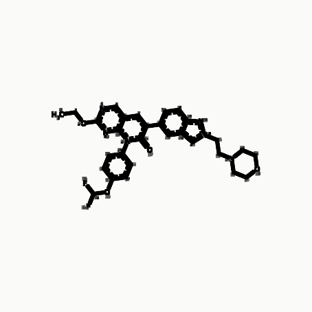 CCOc1ncc2cc(-c3ccc4nn(CCN5CCOCC5)cc4c3)c(=O)n(-c3ccc(OC(F)F)cc3)c2n1